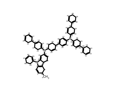 CC1C=CC2=C(C1)C1CC=C(N(C3=CC=C(C4C=CC=CC4)CC3)C3C=CC(c4ccc(N(C5=CCC(C6=CCCC=C6)C=C5)C5=CC=C(C6=CC=CCC6)CC5)cc4)CC3)C=C1N2C1=CC=CCC1